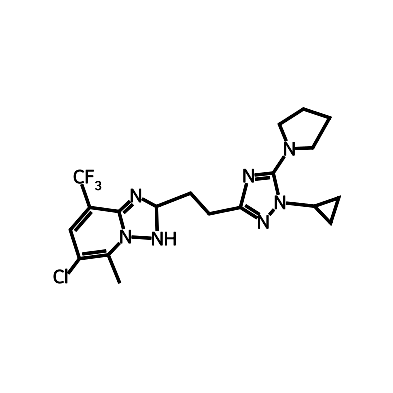 CC1=C(Cl)C=C(C(F)(F)F)C2=NC(CCc3nc(N4CCCC4)n(C4CC4)n3)NN21